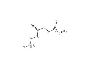 C=[CH][Co](=[O])[CH2]CC(=O)SC[SiH2]C